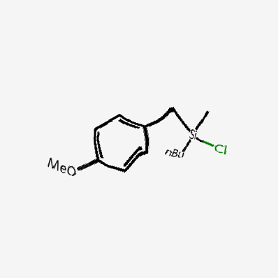 CCCC[Si](C)(Cl)Cc1ccc(OC)cc1